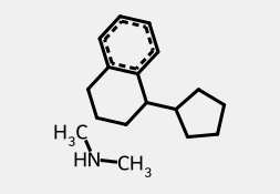 CNC.c1ccc2c(c1)CCCC2C1CCCC1